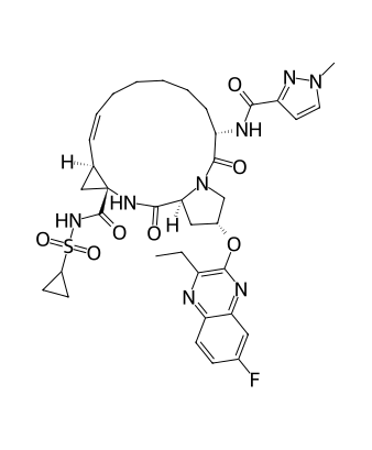 CCc1nc2ccc(F)cc2nc1O[C@@H]1C[C@H]2C(=O)N[C@]3(C(=O)NS(=O)(=O)C4CC4)C[C@H]3C=CCCCCC[C@H](NC(=O)c3ccn(C)n3)C(=O)N2C1